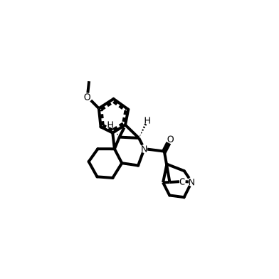 COc1ccc2c(c1)C13CCCCC1CN(C(=O)C1CN4CCC1CC4)[C@H]2[C@@H]3C